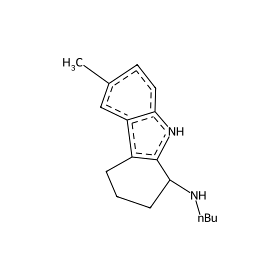 CCCCNC1CCCc2c1[nH]c1ccc(C)cc21